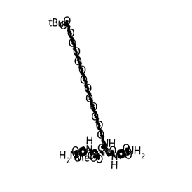 COC(=O)N(CCN(CC(=O)NCCOCCOCCOCCOCCOCCOCCOCCOCCOCCOCCOCCOCCC(=O)OC(C)(C)C)CC(=O)Nc1ccc(S(N)(=O)=O)cc1)CC(=O)Nc1ccc(S(N)(=O)=O)cc1